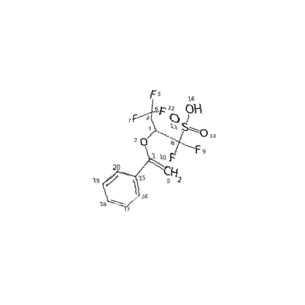 C=C(OC(C(F)(F)F)C(F)(F)S(=O)(=O)O)c1ccccc1